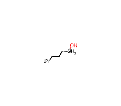 CC(C)CCC[SiH2]O